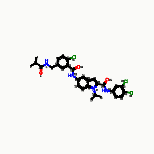 CC(C)C(=O)NCc1ccc(Cl)c(C(=O)Nc2ccc3c(c2)cc(C(=O)Nc2ccc(Cl)c(Cl)c2)n3C(C)C)c1